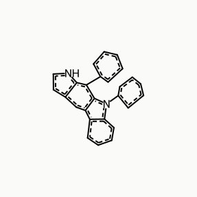 c1ccc(-c2c3[nH]ccc3cc3c4ccccc4n(-c4ccccc4)c23)cc1